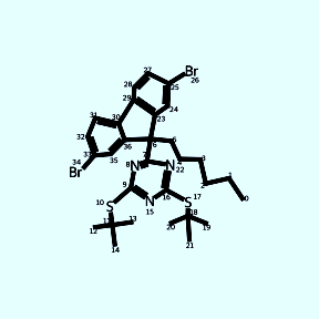 CCCCCCC1(c2nc(SC(C)(C)C)nc(SC(C)(C)C)n2)c2cc(Br)ccc2-c2ccc(Br)cc21